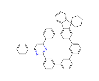 c1ccc(-c2cc(-c3ccccc3)nc(-c3cccc(-c4cccc(-c5cccc(-c6ccc7c(c6)C6(CCCCC6)c6ccccc6-7)c5)c4)c3)n2)cc1